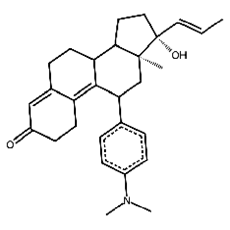 CC=C[C@]1(O)CCC2C3CCC4=CC(=O)CCC4=C3C(c3ccc(N(C)C)cc3)C[C@@]21C